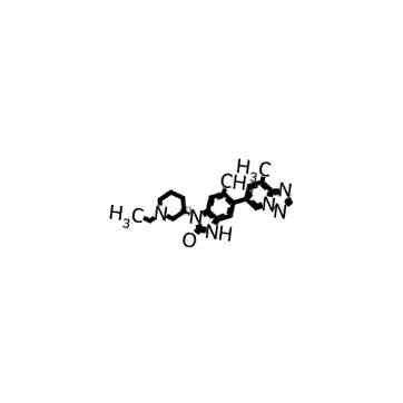 CCN1CCC[C@H](n2c(=O)[nH]c3cc(-c4cc(C)c5ncnn5c4)c(C)cc32)C1